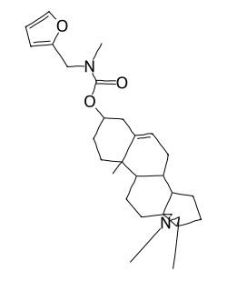 CC1C2CCC3C4CC=C5CC(OC(=O)N(C)Cc6ccco6)CCC5(C)C4CCC32CN1C